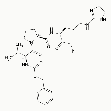 CC(C)[C@H](NC(=O)OCc1ccccc1)C(=O)N1CCC[C@H]1C(=O)N[C@@H](CCCNC1=NCCN1)C(=O)CF